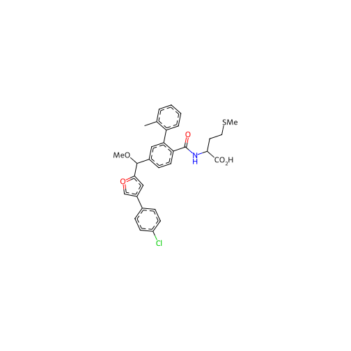 COC(c1ccc(C(=O)NC(CCSC)C(=O)O)c(-c2ccccc2C)c1)c1cc(-c2ccc(Cl)cc2)co1